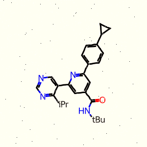 CC(C)c1ncncc1-c1cc(C(=O)NC(C)(C)C)cc(-c2ccc(C3CC3)cc2)n1